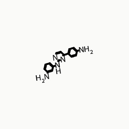 Nc1ccc(-c2ccnc(Nc3cccc(N)c3)n2)cc1